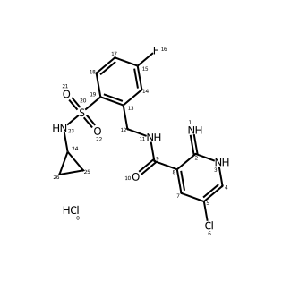 Cl.N=c1[nH]cc(Cl)cc1C(=O)NCc1cc(F)ccc1S(=O)(=O)NC1CC1